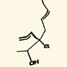 C=CC(CC)(CC=CC)C(C)O